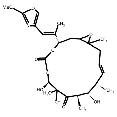 COc1nc(/C=C(\C)[C@@H]2CC3OC3(C(F)(F)F)C/C=C/[C@H](C)[C@H](O)[C@@H](C)C(=O)C(C)(C)[C@@H](O)CC(=O)O2)co1